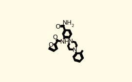 Cc1ccccc1N1CCN(c2ccc(C(N)=O)cc2NC(=O)c2ccco2)CC1